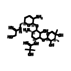 C[C@@H]1C(O)[C@@H](OC2C(O)C(O[C@H]3O[C@H](CNC(=N)CO)CCC3N)[C@@H](N)C[C@H]2NC(=N)C(C)(C)O)OCC1(C)O